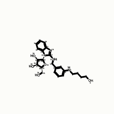 OCCCCNc1cccc(CNc2nc3ccccc3n2[C@@H]2O[C@H](CO)[C@@H](O)[C@H]2O)c1